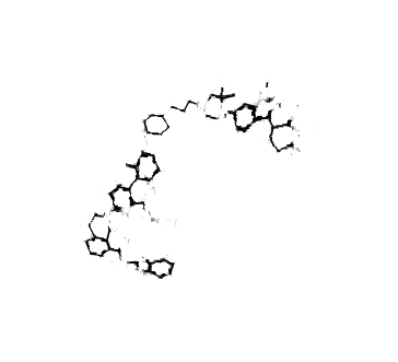 Cc1c(O[C@H]2CC[C@H](CCCN3CCN(c4ccc5c(C6CCC(=O)NC6=O)nn(C)c5c4)C(C)(C)C3)CC2)cccc1-c1ccc(N2CCc3cccc(C(=O)Nc4nc5ccccc5s4)c3C2)nc1C(=O)OC(C)(C)C